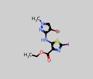 CCOC(=O)c1nc(I)sc1Nc1nn(C)cc1Br